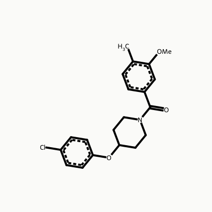 COc1cc(C(=O)N2CCC(Oc3ccc(Cl)cc3)CC2)ccc1C